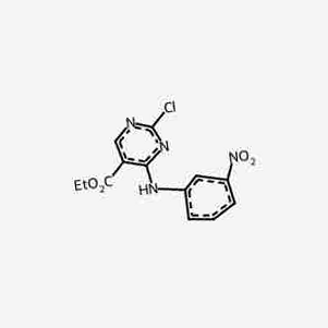 CCOC(=O)c1cnc(Cl)nc1Nc1cccc([N+](=O)[O-])c1